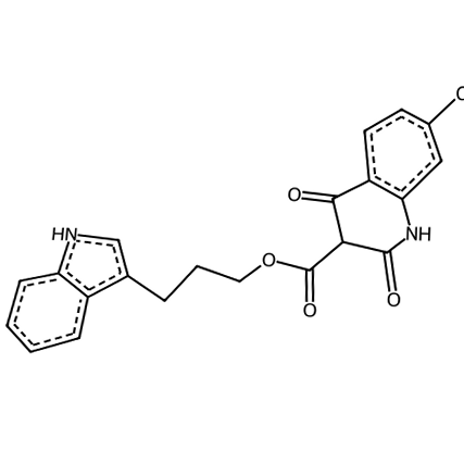 O=C1Nc2cc(Cl)ccc2C(=O)C1C(=O)OCCCc1c[nH]c2ccccc12